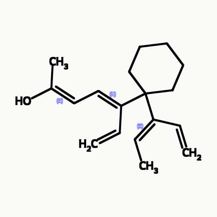 C=C/C(=C\C)C1(/C(C=C)=C/C=C(\C)O)CCCCC1